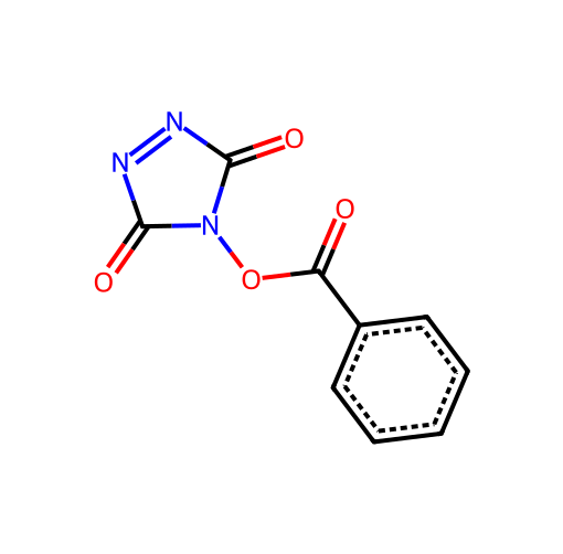 O=C(ON1C(=O)N=NC1=O)c1ccccc1